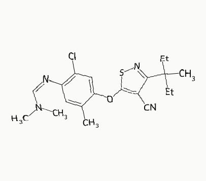 CCC(C)(CC)c1nsc(Oc2cc(Cl)c(/N=C\N(C)C)cc2C)c1C#N